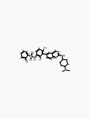 CN(C)C1CCC(Nc2ncc3cc(-c4c(F)ccc(NS(=O)(=O)c5ccccc5Cl)c4F)ccc3n2)CC1